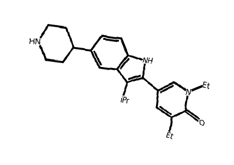 CCc1cc(-c2[nH]c3ccc(C4CCNCC4)cc3c2C(C)C)cn(CC)c1=O